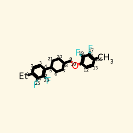 CCc1ccc(C2CCC(COc3ccc(C)c(F)c3F)CC2)c(F)c1F